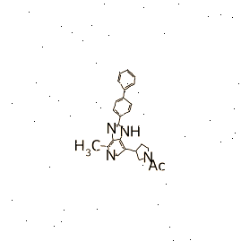 CC(=O)N1CCC(c2cnc(C)c3nc(-c4ccc(-c5ccccc5)cc4)[nH]c23)C1